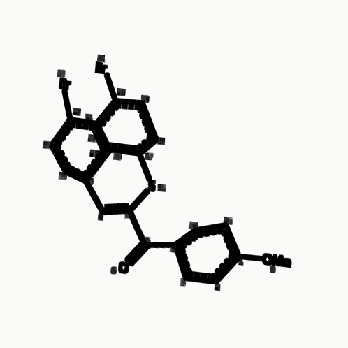 COc1ccc(C(=O)/C(=C/c2ccc(Br)cc2)Sc2ccc(Br)cc2)cc1